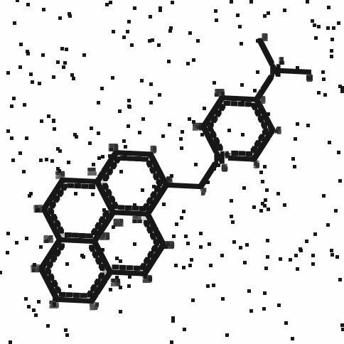 CN(C)c1cc[n+](Cc2ccc3ccc4cccc5ccc2c3c45)cc1